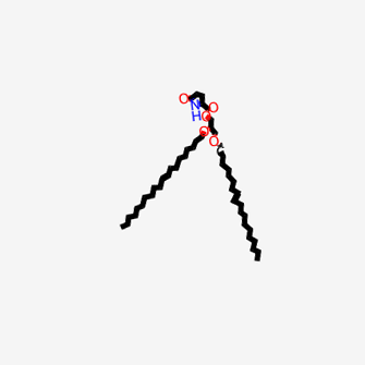 CCCCCCCCCCC=CCCCCCCCCOCC(COC(=O)C1CCC(=O)N1)OCCCCCCCCC=CCCCCCCCCCC